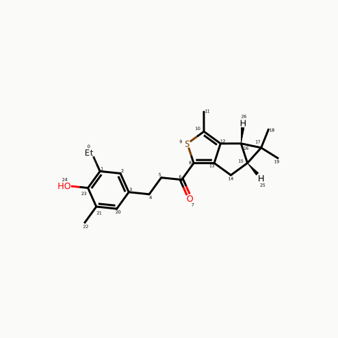 CCc1cc(CCC(=O)c2sc(C)c3c2C[C@@H]2[C@H]3C2(C)C)cc(C)c1O